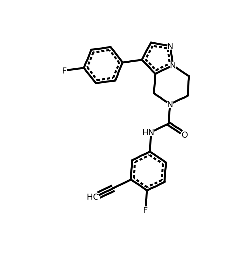 C#Cc1cc(NC(=O)N2CCn3ncc(-c4ccc(F)cc4)c3C2)ccc1F